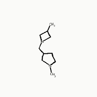 CC1CN(CC2CCN(C)C2)C1